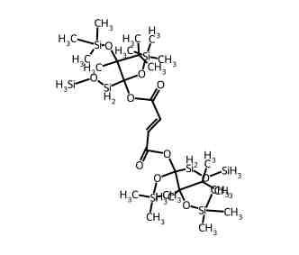 CC(C)C(C)(O[Si](C)(C)C)C(OC(=O)/C=C/C(=O)OC(O[Si](C)(C)C)([SiH2]O[SiH3])C(C)(O[Si](C)(C)C)C(C)C)(O[Si](C)(C)C)[SiH2]O[SiH3]